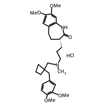 COc1ccc(CC2(CN(C)CCC[C@@H]3CCc4cc(OC)c(OC)cc4NC3=O)CCC2)cc1OC.Cl